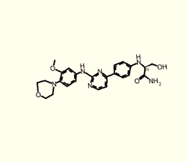 COc1cc(Nc2nccc(-c3ccc(N[C@@H](CO)C(N)=O)cc3)n2)ccc1N1CCOCC1